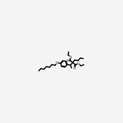 CCCCCCCOc1ccc(C(C)C(CCCC)(C(=O)OCC)C(=O)OCC)cc1